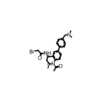 CC(=O)N1c2ccc(-c3ccc(CN(C)C)cc3)cc2[C@H](NC(=O)CBr)C[C@@H]1C